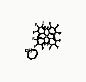 C1=CC=CCC=C1.Fc1c(F)c(F)c([B-](c2c(F)c(F)c(F)c(F)c2F)(c2c(F)c(F)c(F)c(F)c2F)c2c(F)c(F)c(F)c(F)c2F)c(F)c1F.[CH3+]